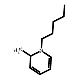 CCCCCN1C=CC=CC1N